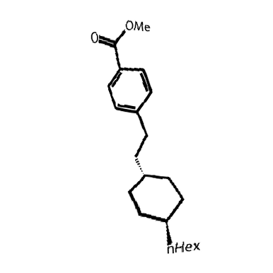 CCCCCC[C@H]1CC[C@H](CCc2ccc(C(=O)OC)cc2)CC1